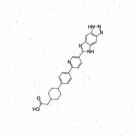 O=C(O)CC1CCC(c2ccc(-c3ccc(-c4nc5cc6[nH]nnc6cc5[nH]4)cn3)cc2)CC1